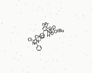 CCCc1cc(-c2ccc(Cn3c(-c4ccccc4)nc(Cl)c3C=O)cc2)c(NS(=O)(=O)C(=O)OC(C)(C)C)s1